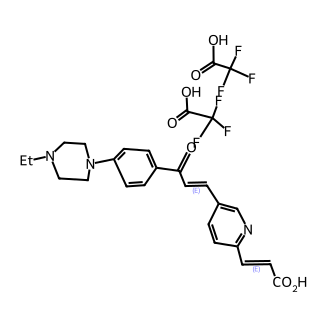 CCN1CCN(c2ccc(C(=O)/C=C/c3ccc(/C=C/C(=O)O)nc3)cc2)CC1.O=C(O)C(F)(F)F.O=C(O)C(F)(F)F